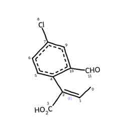 C/C=C(/C(=O)O)c1ccc(Cl)cc1C=O